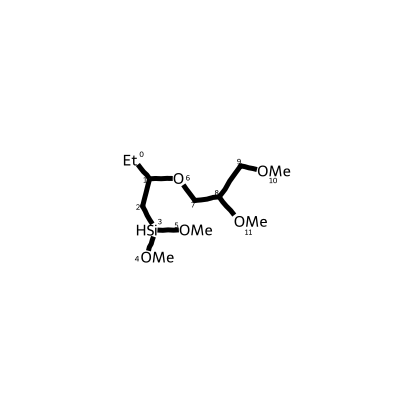 CCC(C[SiH](OC)OC)OCC(COC)OC